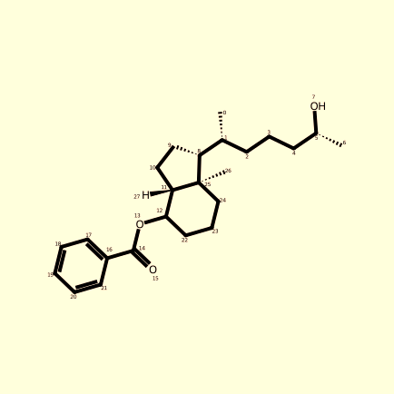 C[C@H](CCC[C@@H](C)O)[C@H]1CC[C@H]2C(OC(=O)c3ccccc3)CCC[C@]12C